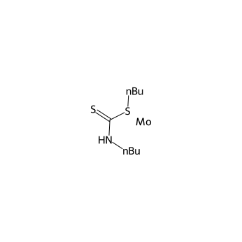 CCCCNC(=S)SCCCC.[Mo]